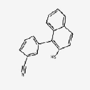 N#Cc1cccc(-c2c(S)ccc3ccccc23)c1